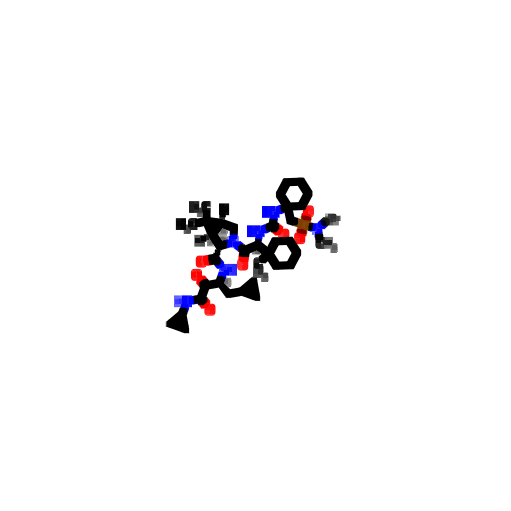 CC(C)N(C)S(=O)(=O)CC1(NC(=O)N[C@H](C(=O)N2C[C@H]3[C@@H]([C@H]2C(=O)N[C@@H](CC2CC2)C(=O)C(=O)NC2CC2)C3(C)C)C2(C)CCCCC2)CCCCC1